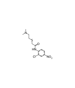 CN(C)CCSCC(=O)Nc1ccc([N+](=O)[O-])cc1Cl